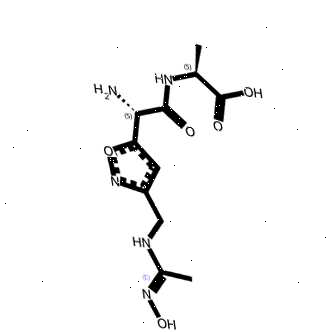 C/C(=N\O)NCc1cc([C@H](N)C(=O)N[C@@H](C)C(=O)O)on1